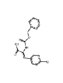 O=C(NC(=Cc1ccc(Cl)cc1)C(=O)O)OCc1ccccc1